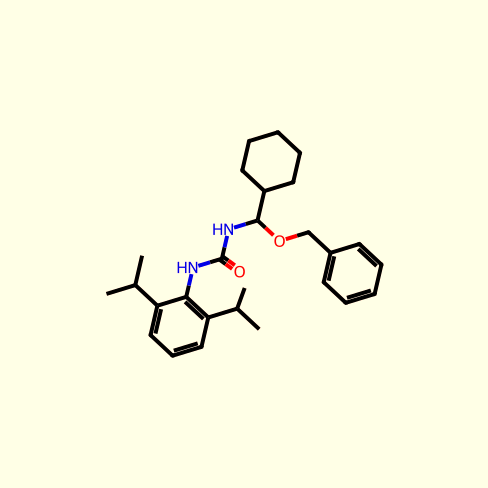 CC(C)c1cccc(C(C)C)c1NC(=O)NC(OCc1ccccc1)C1CCCCC1